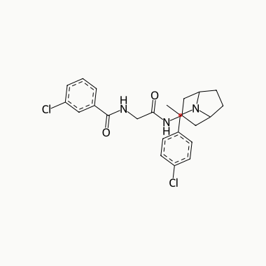 CC(c1ccc(Cl)cc1)N1C2CCC1CC(NC(=O)CNC(=O)c1cccc(Cl)c1)C2